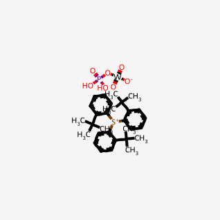 CC(C)(C)c1ccccc1[S+](c1ccccc1C(C)(C)C)c1ccccc1C(C)(C)C.O=P(O)(O)[O][W](=[O])(=[O])[O-]